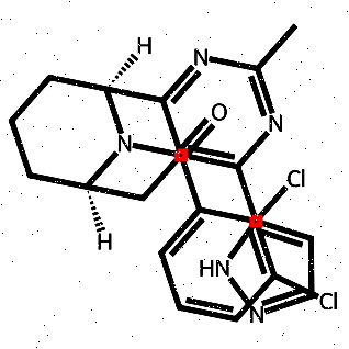 Cc1nc(-c2ccn[nH]2)c2c(n1)[C@@H]1CCC[C@H](C2)N1C(=O)c1cccc(Cl)c1Cl